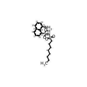 CCCCCCCCS(=O)(=O)NS(=O)(=O)c1cccc2cccc(N)c12